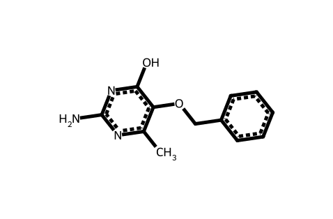 Cc1nc(N)nc(O)c1OCc1ccccc1